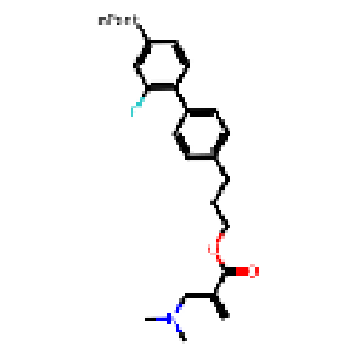 C=C(CN(C)C)C(=O)OCCCc1ccc(-c2ccc(CCCCC)cc2F)cc1